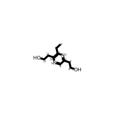 CCc1nc(CCO)cnc1CCO